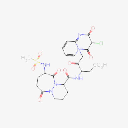 CS(=O)(=O)NC1CCC(=O)N2CCCC(C(=O)NC(CC(=O)O)C(=O)C[N+]34C=CC=CC3=NC(=O)C(Cl)C4=O)N2C1=O